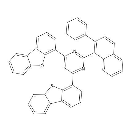 c1ccc(-c2ccc3ccccc3c2-c2nc(-c3cccc4c3oc3ccccc34)cc(-c3cccc4c3sc3ccccc34)n2)cc1